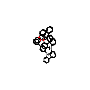 c1ccc(-c2ccc(-n3c4ccccc4c4cccc(-n5c6cccc(-n7c8ccccc8c8ccccc87)c6c6c([Si](c7ccccc7)(c7ccccc7)c7ccccc7)cccc65)c43)cc2)cc1